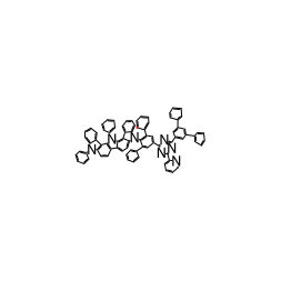 c1ccc(-c2cc(-c3ccccc3)cc(-c3nc(-c4cc(-c5ccccc5)c(-n5c6ccccc6c6c5ccc5c7ccc8c(c9ccccc9n8-c8ccccc8)c7n(-c7ccccc7)c56)c(-c5ccccc5)c4)nc(-c4ccccn4)n3)c2)cc1